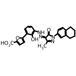 CC1=NN(c2ccc3c(c2)CCCC3)C(=O)C1=NNc1cccc(-c2ccc(C(=O)O)o2)c1O